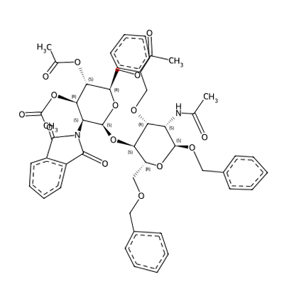 CC(=O)N[C@@H]1[C@@H](OCc2ccccc2)O[C@H](COCc2ccccc2)[C@@H](O[C@@H]2O[C@H](COC(C)=O)[C@@H](OC(C)=O)[C@H](OC(C)=O)[C@@H]2N2C(=O)c3ccccc3C2=O)[C@@H]1OCc1ccccc1